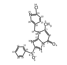 Cc1cc(=O)n2nc([S+]([O-])c3ccccc3)nc2n1Cc1ccc(Cl)nc1